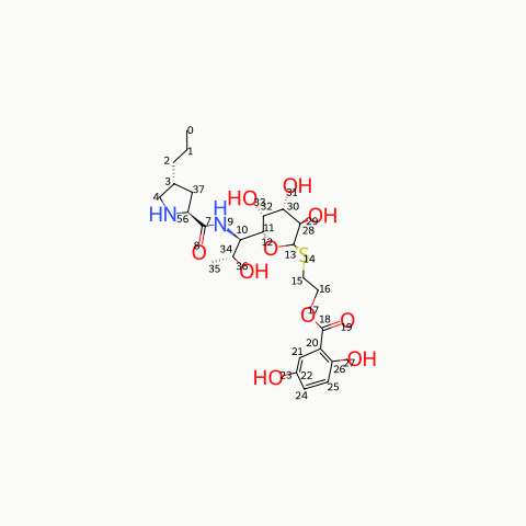 CCC[C@H]1CN[C@H](C(=O)N[C@@H]([C@H]2O[C@H](SCCOC(=O)c3cc(O)ccc3O)[C@H](O)[C@@H](O)[C@H]2O)[C@@H](C)O)C1